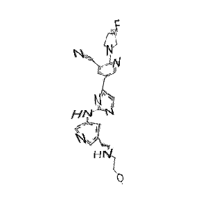 COCCNCc1cncc(Nc2nccc(-c3cnc(N4CC[C@H](F)C4)c(C#N)c3)n2)c1